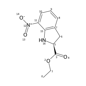 CCOC(=O)[C@@H]1Cc2cccc([N+](=O)[O-])c2N1